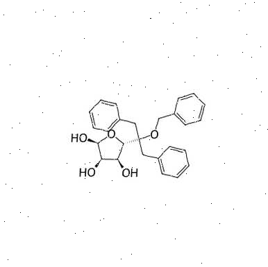 O[C@@H]1[C@H](O)[C@@H](C(Cc2ccccc2)(Cc2ccccc2)OCc2ccccc2)O[C@@H]1O